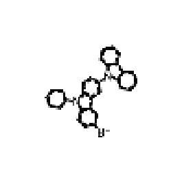 Brc1ccc2c(c1)c1cc(-n3c4ccccc4c4ccccc43)ccc1n2-c1ccccc1